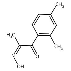 C/C(=N/O)C(=O)c1ccc(C)cc1C